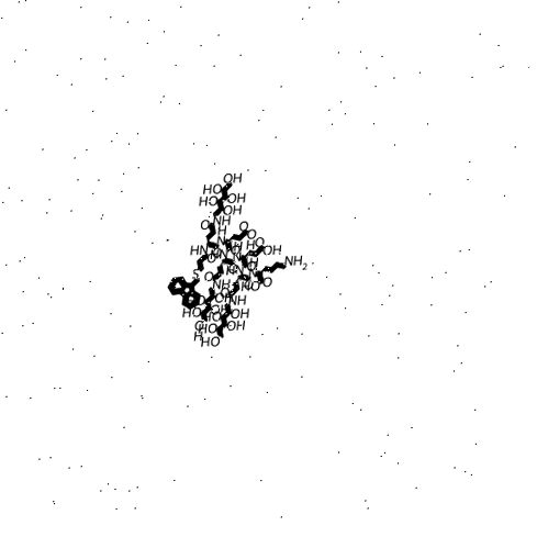 NCCCC[C@H](NC(=O)[C@H](CCC(=O)NC[C@H](O)[C@@H](O)[C@H](O)[C@H](O)CO)NC(=O)[C@H](CCC(=O)O)NC(=O)[C@H](CCC(=O)NC[C@H](O)[C@@H](O)[C@H](O)[C@H](O)CO)NC(=O)[C@H](CCC(=O)O)NC(=O)[C@H](CCC(=O)NC[C@H](O)[C@@H](O)[C@H](O)[C@H](O)CO)NC(=O)CCSCC1c2ccccc2-c2ccccc21)C(=O)O